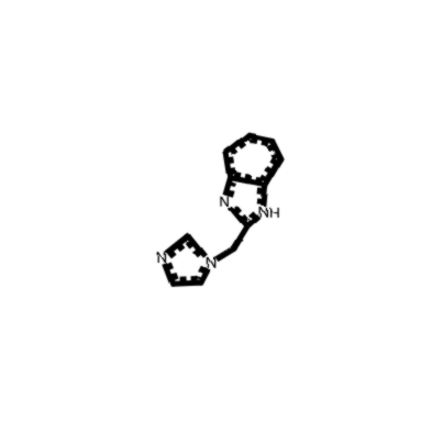 c1ccc2[nH]c(Cn3ccnc3)nc2c1